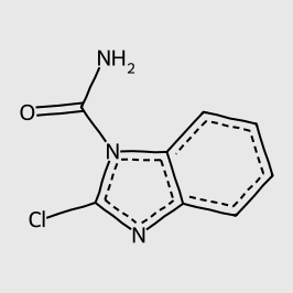 NC(=O)n1c(Cl)nc2ccccc21